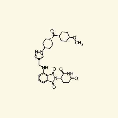 COC1CCC(C(=O)N2CCC(n3cc(CNc4cccc5c4C(=O)N(C4CCC(=O)NC4=O)C5=O)cn3)CC2)CC1